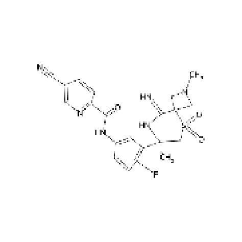 CN1CC2(C1)C(=N)N[C@](C)(c1cc(NC(=O)c3ccc(C#N)cn3)ccc1F)CS2(=O)=O